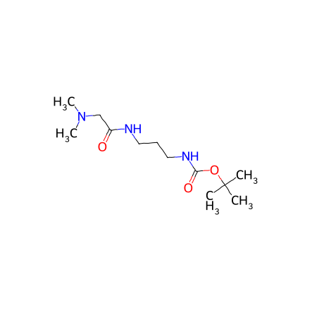 CN(C)CC(=O)NCCCNC(=O)OC(C)(C)C